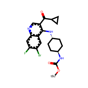 CC(C)(C)OC(=O)N[C@H]1CC[C@H](Nc2c(C(=O)C3CC3)cnc3cc(F)c(Br)cc23)CC1